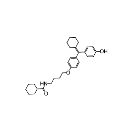 O=C(NCCCCOc1ccc(C(=C2CCCCC2)c2ccc(O)cc2)cc1)C1CCCCC1